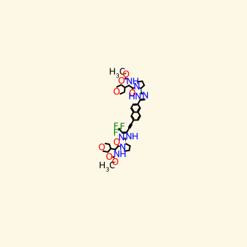 COC(=O)N[C@H](C(=O)N1CCC[C@H]1c1ncc(-c2ccc3cc(C#Cc4[nH]c([C@@H]5CCCN5C(=O)[C@@H](NC(=O)OC)C5CCOCC5)nc4C(F)(F)F)ccc3c2)[nH]1)C1CCOCC1